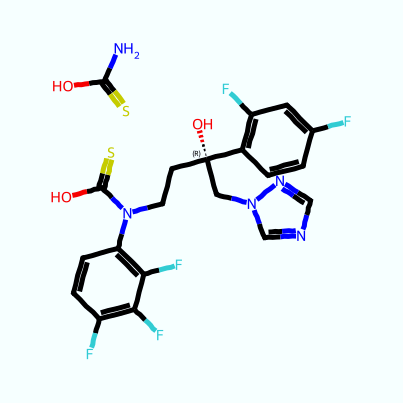 NC(O)=S.OC(=S)N(CC[C@](O)(Cn1cncn1)c1ccc(F)cc1F)c1ccc(F)c(F)c1F